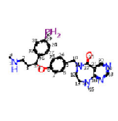 CNCCC(Oc1ccc(CN2CCN(C)c3ncncc3C2=O)cc1)c1ccc(P)cc1